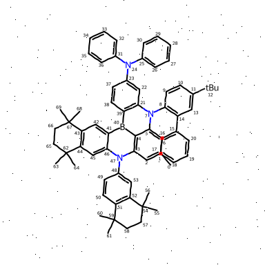 Cc1cc2c3c(c1)N(c1ccc(C(C)(C)C)cc1-c1ccccc1)c1cc(N(c4ccccc4)c4ccccc4)ccc1B3c1cc3c(cc1N2c1ccc2c(c1)C(C)(C)CCC2(C)C)C(C)(C)CCC3(C)C